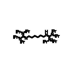 CC(C)N(C(=NCCCCCCNC(N(C(C)C)C(C)C)=[N+](C(C)C)C(C)C)N(C(C)C)C(C)C)C(C)C